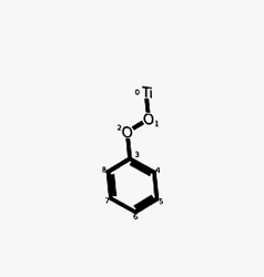 [Ti][O]Oc1ccccc1